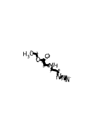 CCOC(=O)CNCCN=[N+]=[N-]